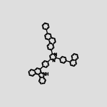 c1ccc(-c2ccc3c(ccc4cc(-c5cc(-c6ccc(-c7cc8ccccc8c8c7[nH]c7ccccc78)cc6)nc(-c6ccc(-c7cccc8ccccc78)cc6)n5)ccc43)c2)cc1